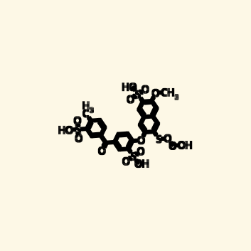 COc1cc2cc(SOOO)c(Oc3ccc(C(=O)c4ccc(C)c(S(=O)(=O)O)c4)cc3S(=O)(=O)O)cc2cc1S(=O)(=O)O